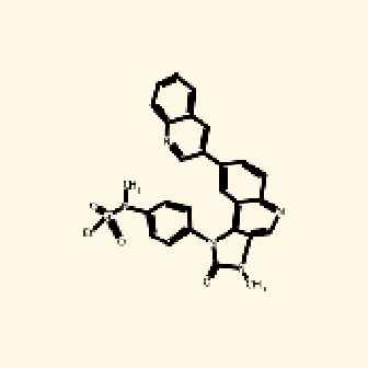 CCS(=O)(=O)N(C)c1ccc(-n2c(=O)n(C)c3cnc4ccc(-c5cnc6ccccc6c5)cc4c32)cc1